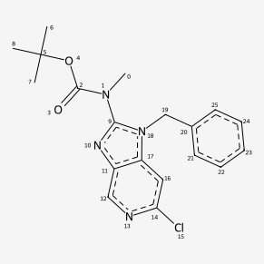 CN(C(=O)OC(C)(C)C)c1nc2cnc(Cl)cc2n1Cc1ccccc1